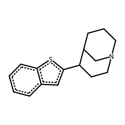 c1ccc2sc(C3CCN4CCCC3C4)cc2c1